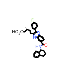 C[C@H](CCc1nc2cc(C(=O)N[C@@H]3CCCc4ccccc43)ccc2nc1-c1ccc(F)cc1)CC(=O)O